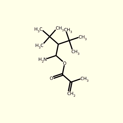 C=C(C)C(=O)OC(N)C(C(C)(C)C)C(C)(C)C